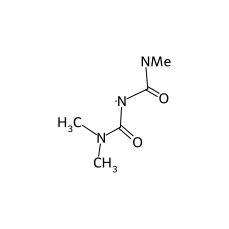 CNC(=O)[N]C(=O)N(C)C